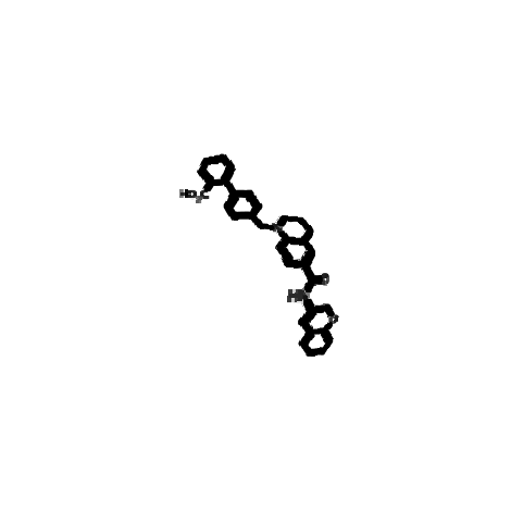 O=C(NC1=Cc2ccccc2OC1)c1ccc2c(c1)CCCN2Cc1ccc(-c2ccccc2C(=O)O)cc1